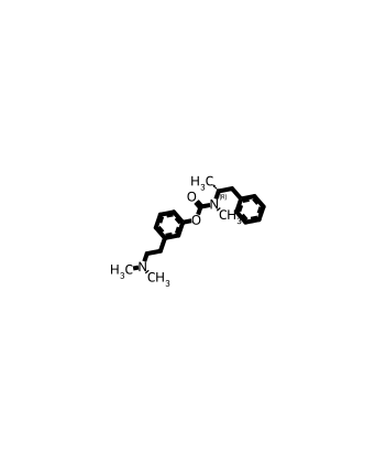 C[C@H](Cc1ccccc1)N(C)C(=O)Oc1cccc(CCN(C)C)c1